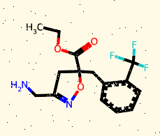 CCOC(=O)C1(Cc2ccccc2C(F)(F)F)CC(CN)=NO1